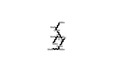 CNCCCCC(NC)C(=O)NCCCCC(CC(C)=O)NC(=O)C(CCCCNC(=O)C(CCCCNC)NC)NC(=O)C(CCCCNC)NC